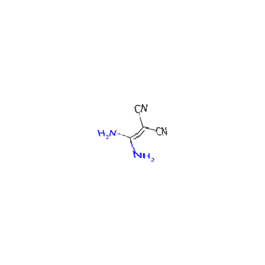 N#CC(C#N)=C(N)N